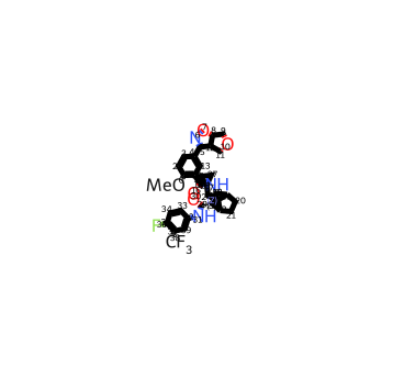 COc1ccc(C2=NOC3COCC23)cc1C(=O)N[C@@H]1C2CCC(/C2=C/C2CC2)[C@@H]1C(=O)Nc1ccc(F)c(C(F)(F)F)c1